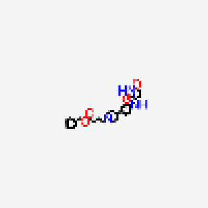 O=C1CCC(Nc2ccc(C3CCN(CCCC(=O)OCc4ccccc4)CC3)cc2)C(=O)N1